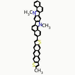 Cc1cc2cc3cc4cc5sc(-c6ccc7c(ccc8c9cc%10c(cc9n(C)c78)c7ccc8ccccc8c7n%10C)c6)cc5cc4cc3cc2s1